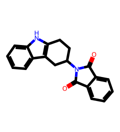 O=C1c2ccccc2C(=O)N1C1CCc2[nH]c3ccccc3c2C1